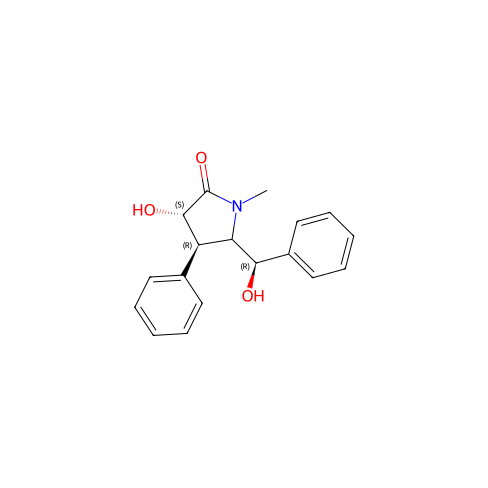 CN1C(=O)[C@@H](O)[C@H](c2ccccc2)C1[C@H](O)c1ccccc1